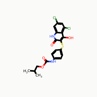 CC(C)COC(=O)Nc1ccc(Sc2c(O)c3c(Cl)cc(Cl)cc3[nH]c2=O)cc1